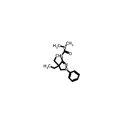 CCC1(CC)CN(c2ccccc2)N=C1OC(=O)N(C)C